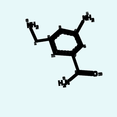 NCc1cc(N)cc(C(N)=O)c1